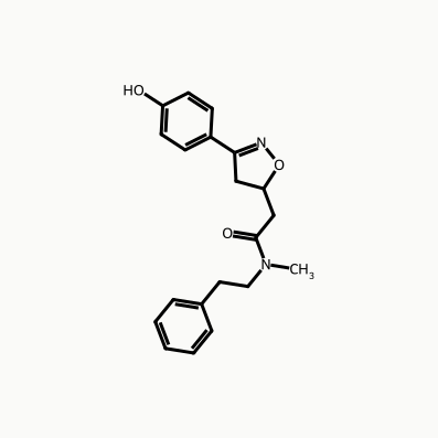 CN(CCc1ccccc1)C(=O)CC1CC(c2ccc(O)cc2)=NO1